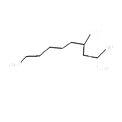 CCCCCCCCCCCCCCC(C[C@H](N)C(=O)O)C(=O)O